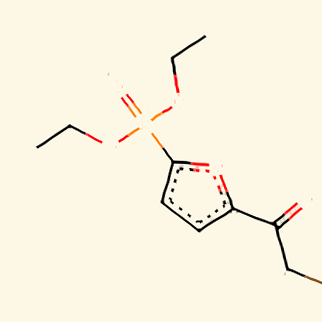 CCOP(=O)(OCC)c1ccc(C(=O)CBr)o1